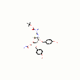 CNC(=O)OC[C@H]1O[C@@H]2SC(N(C)C(=O)OC(C)(C)C)=N[C@@H]2[C@@H](OCc2ccc(OC)cc2)[C@@H]1OCc1ccc(OC)cc1